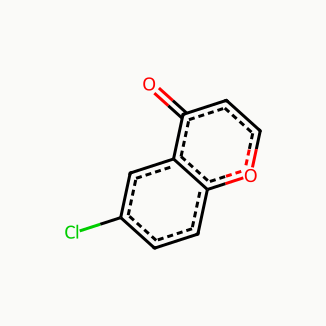 O=c1ccoc2ccc(Cl)cc12